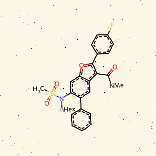 CCCCCCN(c1cc2oc(-c3ccc(F)cc3)c(C(=O)NC)c2cc1-c1ccccc1)S(C)(=O)=O